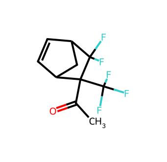 CC(=O)C1(C(F)(F)F)C2C=CC(C2)C1(F)F